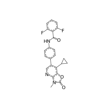 Cn1c(=O)oc2c(C3CC3)c(-c3ccc(NC(=O)c4c(F)cccc4F)cc3)cnc21